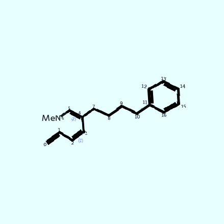 C=C/C=C\C(=C/NC)CCCCc1ccccc1